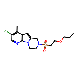 CCCOCCS(=O)(=O)N1CCn2c(cc3c(C)c(Cl)cnc32)C1